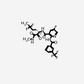 CNC(=O)C(=O)[C@H](CCC(C)(F)F)NC(=O)c1cc(F)cnc1NC(=O)c1cccc(C(F)(F)F)c1